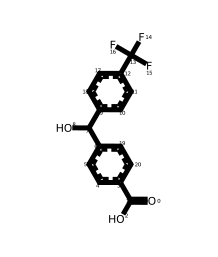 O=C(O)c1ccc(C(O)c2ccc(C(F)(F)F)cc2)cc1